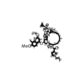 COc1ccc2c(O[C@@H]3C[C@H]4C(=O)N[C@]5(C(=O)NS(=O)(=O)C6CC6)C[C@H]5C=CCCCCC[C@H](NC(=O)c5ccn(CCF)n5)C(=O)N4C3)cc(OC(C)C)nc2c1C